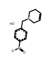 Cl.O=[N+]([O-])c1ccc(CN2CC=CCC2)cc1